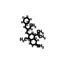 BC1CCC2C(C)C(CC(C=C)CC3CCCCC3)CC(C(C)C)C2C1